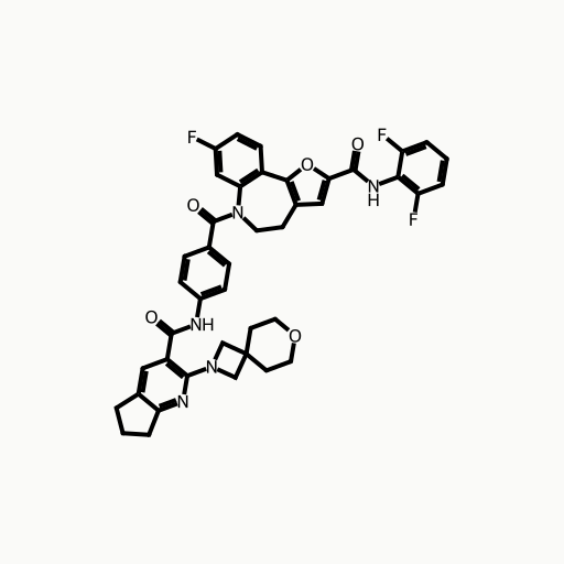 O=C(Nc1c(F)cccc1F)c1cc2c(o1)-c1ccc(F)cc1N(C(=O)c1ccc(NC(=O)c3cc4c(nc3N3CC5(CCOCC5)C3)CCC4)cc1)CC2